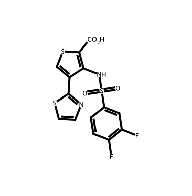 O=C(O)c1scc(-c2nccs2)c1NS(=O)(=O)c1ccc(F)c(F)c1